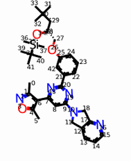 Cc1noc(C)c1-c1cc(N2Cc3cccnc3C2)nc(-c2cccc(OC[C@@H]([CH]C(C)(C)C)O[Si](C)(C)C(C)(C)C)c2)n1